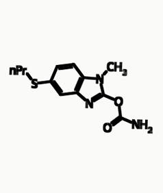 CCCSc1ccc2c(c1)nc(OC(N)=O)n2C